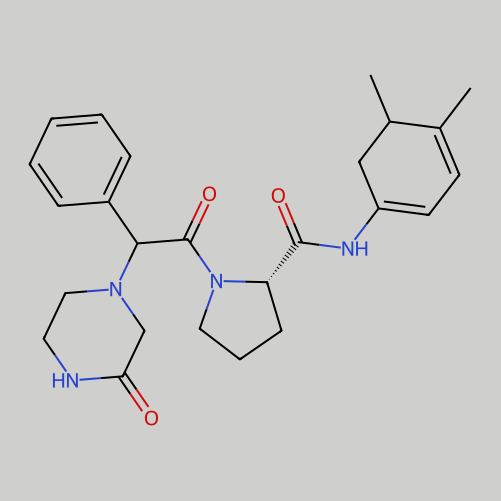 CC1=CC=C(NC(=O)[C@@H]2CCCN2C(=O)C(c2ccccc2)N2CCNC(=O)C2)CC1C